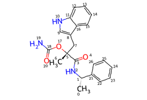 C[C@H](NC(=O)[C@@](C)(Cc1c[nH]c2ccccc12)OC(N)=O)c1ccccc1